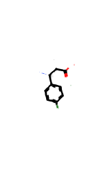 C[C@H](C(=O)O)[C@H](N)c1ccc(Cl)cc1.Cl